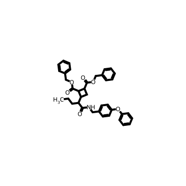 CCCC(C(=O)NCc1ccc(Oc2ccccc2)cc1)C1CC(C(=O)OCc2ccccc2)C1C(=O)OCc1ccccc1